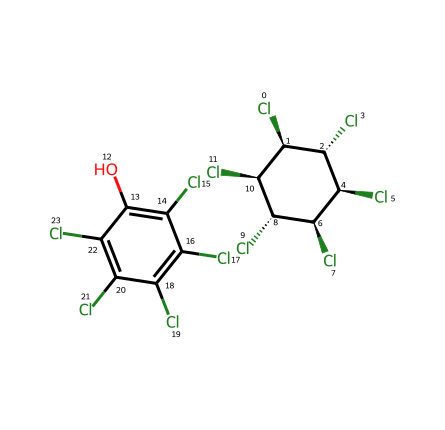 Cl[C@H]1[C@H](Cl)[C@@H](Cl)[C@@H](Cl)[C@H](Cl)[C@H]1Cl.Oc1c(Cl)c(Cl)c(Cl)c(Cl)c1Cl